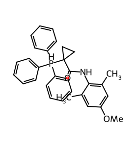 COc1cc(C)c(NC(=O)C2([PH](c3ccccc3)(c3ccccc3)c3ccccc3)CC2)c(C)c1